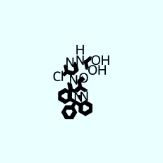 O=c1c2cnn(C(c3ccccc3)(c3ccccc3)c3ccccc3)c2ccn1-c1cc(NC(CO)CO)ncc1Cl